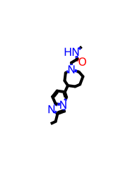 CCc1cn2cc(C3CCCCN(CC(=O)NC)CC3)ccc2n1